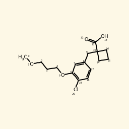 COCCCOc1cc(CC2(C(=O)O)CCC2)ccc1Cl